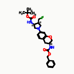 CC(C)(C)OC(=O)N[C@@H]1CN(c2ccc3c(c2)OC[C@H](NC(=O)OCc2ccccc2)C3)C[C@@H]1CF